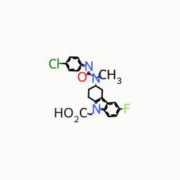 CN(c1nc2ccc(Cl)cc2o1)[C@H]1CCc2c(c3cc(F)ccc3n2CC(=O)O)C1